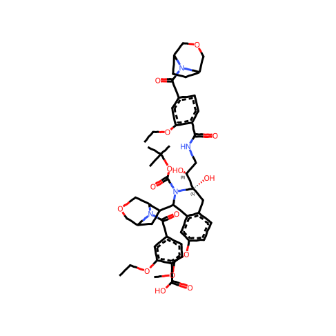 CCOc1cc(C(=O)N2C3COCC2C(C2c4cc(OCOC)ccc4C[C@](O)([C@H](O)CNC(=O)c4ccc(C(=O)N5C6CCC5COC6)cc4OCC)N2C(=O)OC(C)(C)C)C3)ccc1C(=O)O